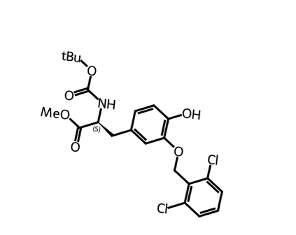 COC(=O)[C@H](Cc1ccc(O)c(OCc2c(Cl)cccc2Cl)c1)NC(=O)OC(C)(C)C